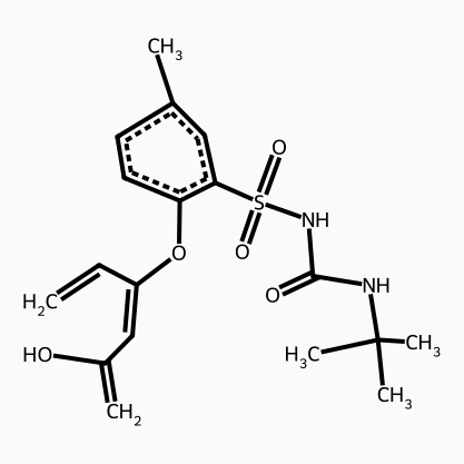 C=C/C(=C\C(=C)O)Oc1ccc(C)cc1S(=O)(=O)NC(=O)NC(C)(C)C